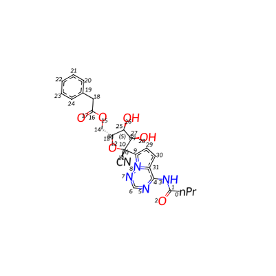 CCCC(=O)Nc1ncnn2c([C@]3(C#N)O[C@H](COC(=O)Cc4ccccc4)[C@@H](O)[C@H]3O)ccc12